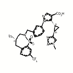 CC[C@H]1Cc2ccc(C(F)(F)F)cc2S(=O)(=O)N(Cc2cccc(-n3ncc(C(=O)O)c3[C@@H]3C[C@H]3c3cn(C)nn3)c2)C1